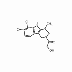 CC1CN(C(=O)CO)Cc2c1[nH]c1c(Cl)c(Cl)ccc21